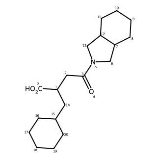 O=C(O)C(CC(=O)N1CC2CCCCC2C1)CC1CCCCC1